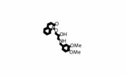 COc1ccc(CNCC(O)COn2c(=O)ccc3ccccc32)cc1OC